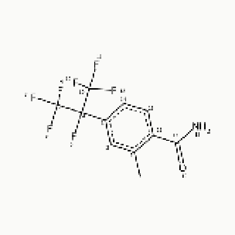 Cc1cc(C(F)(C(F)(F)F)C(F)(F)F)ccc1C(N)=O